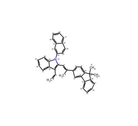 C=Cc1c(/C=C(\C)c2ccc3c(c2)-c2ccccc2C3(C)C)n(-c2ccc3ccccc3c2)c2ccccc12